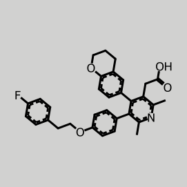 Cc1nc(C)c(-c2ccc(OCCc3ccc(F)cc3)cc2)c(-c2ccc3c(c2)CCCO3)c1CC(=O)O